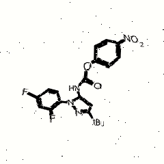 CC(C)(C)c1cc(NC(=O)Oc2ccc([N+](=O)[O-])cc2)n(-c2ccc(F)cc2F)n1